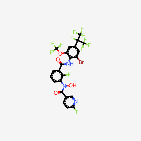 O=C(Nc1c(Br)cc(C(F)(C(F)(F)F)C(F)(F)F)cc1OC(F)(F)F)c1cccc(N(O)C(=O)c2ccc(F)nc2)c1F